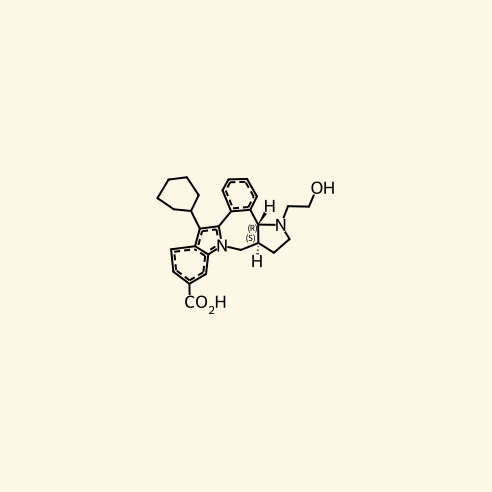 O=C(O)c1ccc2c(C3CCCCC3)c3n(c2c1)C[C@@H]1CCN(CCO)[C@H]1c1ccccc1-3